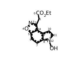 CCOC(=O)Cc1noc2ccc3c(ccn3O)c12